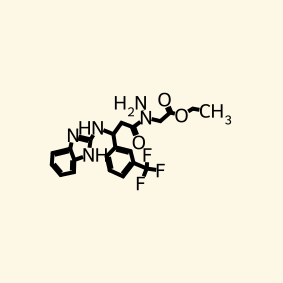 CCOC(=O)CN(N)C(=O)CC(Nc1nc2ccccc2[nH]1)c1cccc(C(F)(F)F)c1